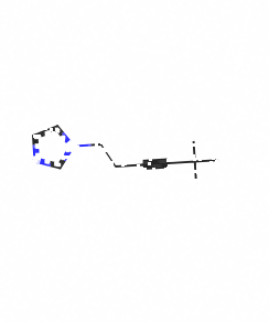 CC(C)(C)C#CCCn1ccnc1